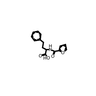 O=C(NC(CCc1ccccc1)C(=O)O)c1ccco1